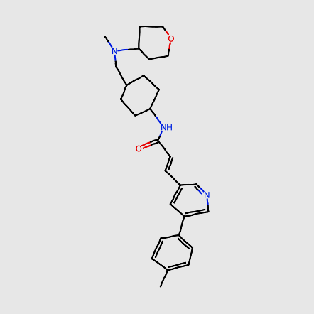 Cc1ccc(-c2cncc(/C=C/C(=O)NC3CCC(CN(C)C4CCOCC4)CC3)c2)cc1